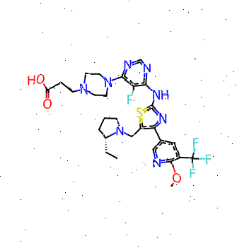 CC[C@@H]1CCCN1Cc1sc(Nc2ncnc(N3CCN(CCC(=O)O)CC3)c2F)nc1-c1cnc(OC)c(C(F)(F)F)c1